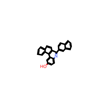 Oc1ccc2nc(-c3ccc4ccccc4c3)c3ccc4ccccc4c3c2c1